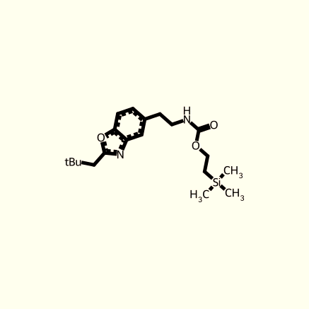 CC(C)(C)Cc1nc2cc(CCNC(=O)OCC[Si](C)(C)C)ccc2o1